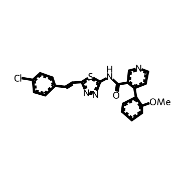 COc1ccccc1-c1ccncc1C(=O)Nc1nnc(/C=C/c2ccc(Cl)cc2)s1